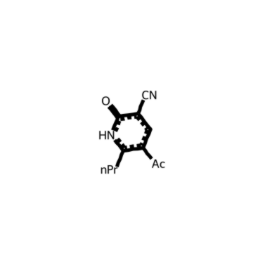 CCCc1[nH]c(=O)c(C#N)cc1C(C)=O